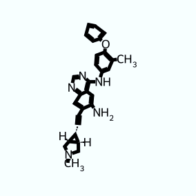 Cc1cc(Nc2ncnc3cc(C#C[C@@H]4[C@H]5CN(C)C[C@@H]45)c(N)cc23)ccc1Oc1ccccc1